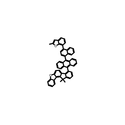 Cc1cc2cccc(-c3ccc(-c4c5ccccc5c(-c5cccc6c5-c5ccc7oc8ccccc8c7c5C6(C)C)c5ccccc45)c4ccccc34)c2o1